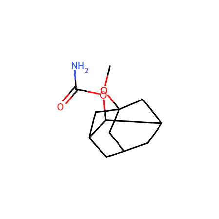 COC12CC3CC(C1)C(OC(N)=O)C(C3)C2